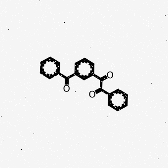 O=C(C(=O)c1cccc(C(=O)c2ccccc2)c1)c1ccccc1